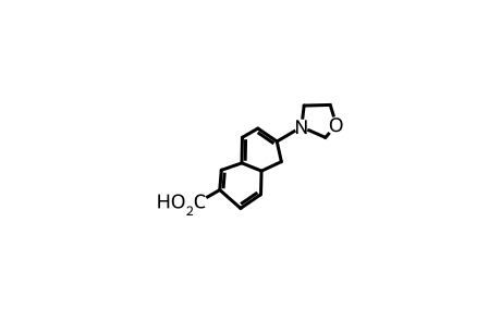 O=C(O)C1=CC2=CC=C(N3CCOC3)CC2C=C1